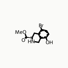 COC(=O)[C@H]1Cc2c(Br)ccc(O)c2CN1